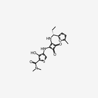 CC[C@@H](Nc1c(Nc2csc(C(=O)N(C)C)c2O)c(=O)c1=O)c1ccc(C)o1